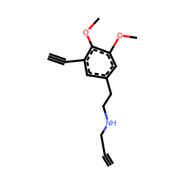 C#CCNCCc1cc(C#C)c(OC)c(OC)c1